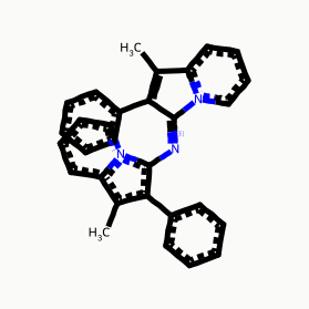 CC1=C(c2ccccc2)/C(=N\c2c(-c3ccccc3)c(C)c3ccccn23)[n+]2ccccc21